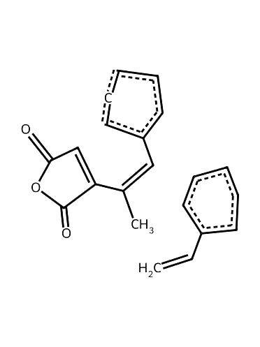 C=Cc1ccccc1.CC(=Cc1ccccc1)C1=CC(=O)OC1=O